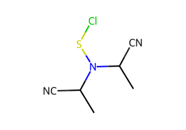 CC(C#N)N(SCl)C(C)C#N